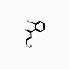 Cc1ccccc1C(=O)C=CC(=O)O